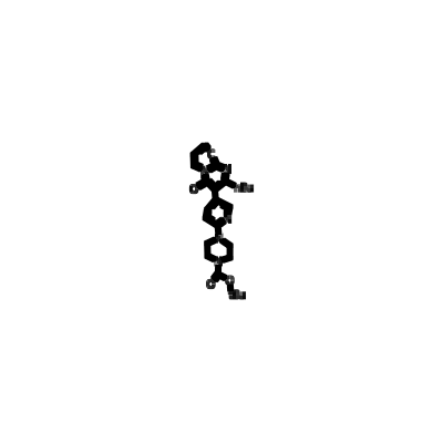 CCCCc1nc2ccccn2c(=O)c1-c1ccc(N2CCN(C(=O)OC(C)(C)C)CC2)nc1